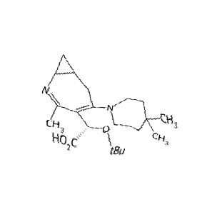 CC1=NC2CC2CC(N2CCC(C)(C)CC2)=C1[C@H](OC(C)(C)C)C(=O)O